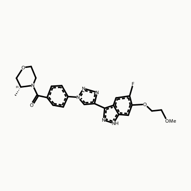 COCCOc1cc2[nH]nc(-c3cn(-c4ccc(C(=O)N5CCOC[C@H]5C)cc4)nn3)c2cc1F